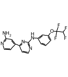 Nc1cc(-c2ccnc(Nc3cccc(OC(F)(F)C(F)F)c3)n2)ccn1